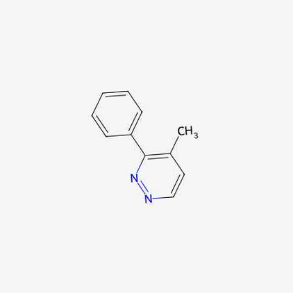 Cc1ccnnc1-c1ccccc1